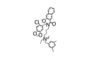 CC[N+](CC)(CCCCN(Cc1cc2c(cc1Cl)OCO2)C(=O)c1cc2ccccc2cc1OC)Cc1cc(C)cc(C)c1